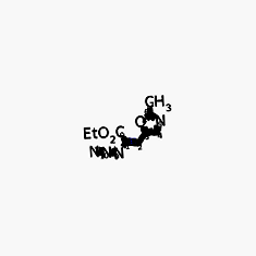 CCOC(=O)/C(=C\c1cnc(C)o1)N=[N+]=[N-]